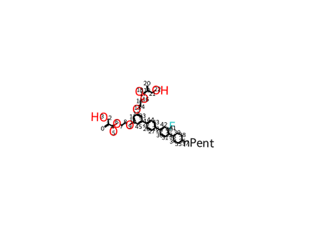 C=C(CO)C(=O)OCCOc1cc(OCCOC(=O)C(=C)CO)cc(-c2ccc(-c3ccc(C4CCC(CCCCC)CC4)c(F)c3)cc2)c1